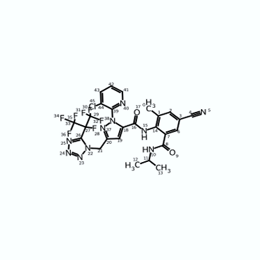 Cc1cc(C#N)cc(C(=O)NC(C)C)c1NC(=O)c1cc(Cn2nnnc2C(F)(C(F)(F)F)C(F)(F)F)nn1-c1ncccc1Cl